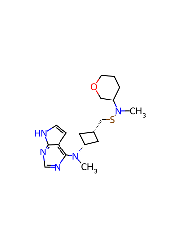 CN(SC[C@H]1C[C@@H](N(C)c2ncnc3[nH]ccc23)C1)C1CCCOC1